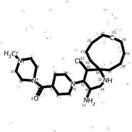 CN1CCN(C(=O)C2CCN(C3C(N)CNC4(CCCCCCCCC4)C3Cl)CC2)CC1